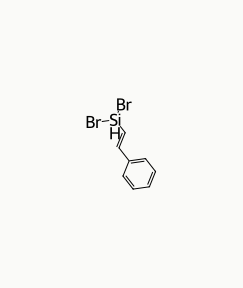 Br[SiH](Br)C=Cc1ccccc1